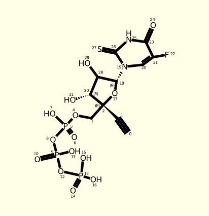 C#C[C@]1(COP(=O)(O)OP(=O)(O)OP(=O)(O)O)O[C@@H](n2cc(F)c(=O)[nH]c2=S)C(O)[C@H]1O